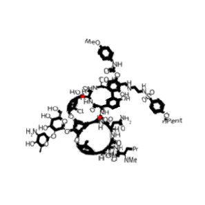 CCCCCOc1ccc(S(=O)(=O)NCCNCc2c(OC(=O)Nc3ccc(OC)cc3)cc3c(c2O)-c2cc(ccc2O)[C@H]2NC(=O)[C@@H]4NC(=O)[C@H](CC(N)=O)NC(=O)[C@H](NC(=O)[C@@H](CC(C)C)NC)[C@H](O)c5ccc(c(C)c5)Oc5cc4cc(c5O[C@@H]4O[C@H](CO)[C@@H](O)[C@H](O)[C@H]4O[C@H]4C[C@H](N)[C@H](O)[C@H](C)O4)Oc4ccc(cc4Cl)[C@@H](O)[C@H](NC2=O)C(=O)N[C@@H]3C(=O)O)cc1